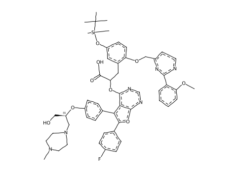 COc1ccccc1-c1nccc(COc2ccc(O[Si](C)(C)C(C)(C)C)cc2CC(Oc2ncnc3oc(-c4ccc(F)cc4)c(-c4ccc(O[C@H](CO)CN5CCN(C)CC5)cc4)c23)C(=O)O)n1